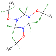 FC1(F)N(OC(F)(F)C(F)(F)F)C(F)(F)N(OC(F)(F)C(F)(F)F)C(F)(F)N1OC(F)(F)C(F)(F)F